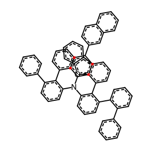 c1ccc(-c2ccccc2-c2cccc(N(c3ccc(-c4ccc5ccccc5c4)cc3)c3cccc(-c4ccccc4)c3-c3ccccc3)c2-c2cccc3c2oc2ccccc23)cc1